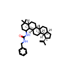 C=C(C)[C@@H]1CC[C@@H]2CC[C@]3(C)[C@H](CC[C@@H]4[C@@]5(C)C(NC(=O)NCc6ccccc6)CCC(C)(C)[C@@H]5CC[C@]43C)[C@H]21